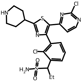 CCC(c1cccc(-c2nc(C3CCNCC3)sc2-c2ccnc(Cl)n2)c1Cl)S(N)(=O)=O